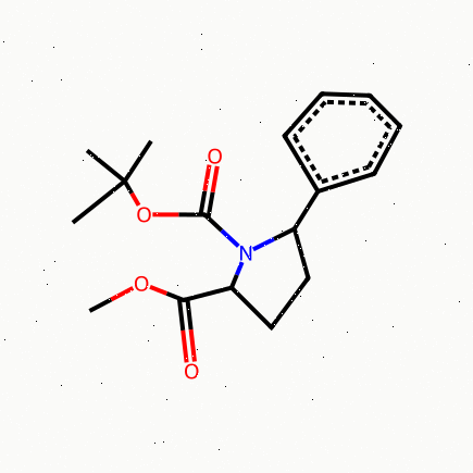 COC(=O)C1CCC(c2ccccc2)N1C(=O)OC(C)(C)C